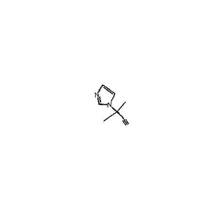 C#CC(C)(C)n1ccnc1